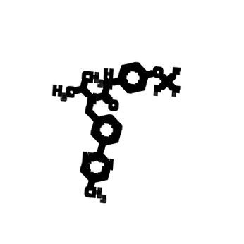 Cc1cnc(-c2cccc(CN(C(=O)Nc3ccc(OC(F)(F)F)cc3)C(C)C)c2)nc1